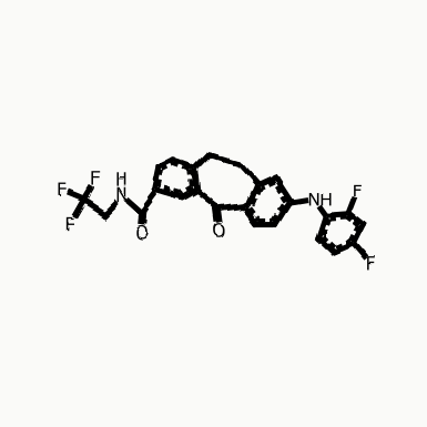 O=C(NCC(F)(F)F)c1ccc2c(c1)C(=O)c1ccc(Nc3ccc(F)cc3F)cc1CC2